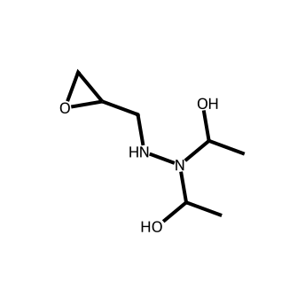 CC(O)N(NCC1CO1)C(C)O